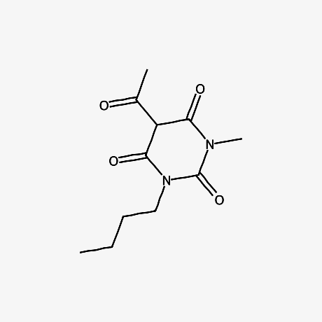 CCCCN1C(=O)C(C(C)=O)C(=O)N(C)C1=O